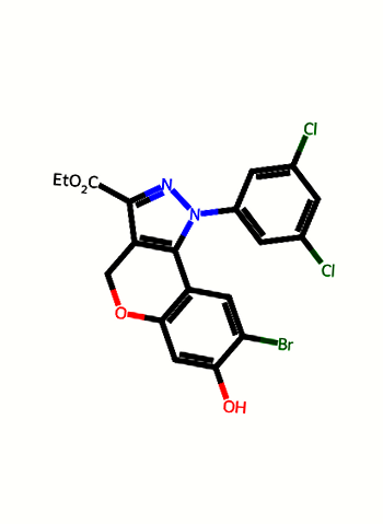 CCOC(=O)c1nn(-c2cc(Cl)cc(Cl)c2)c2c1COc1cc(O)c(Br)cc1-2